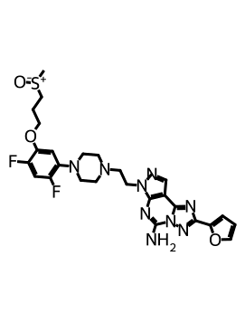 C[S+]([O-])CCCOc1cc(N2CCN(CCn3ncc4c3nc(N)n3nc(-c5ccco5)nc43)CC2)c(F)cc1F